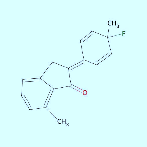 Cc1cccc2c1C(=O)C(=C1C=CC(C)(F)C=C1)C2